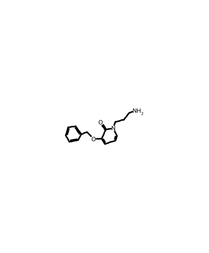 NCCCn1cccc(OCc2ccccc2)c1=O